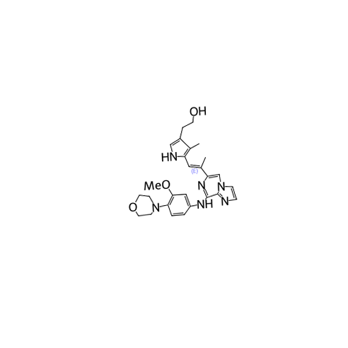 COc1cc(Nc2nc(/C(C)=C/c3[nH]cc(CCO)c3C)cn3ccnc23)ccc1N1CCOCC1